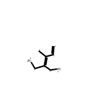 C=CC(C)=C(CC(C)C)CC(C)C